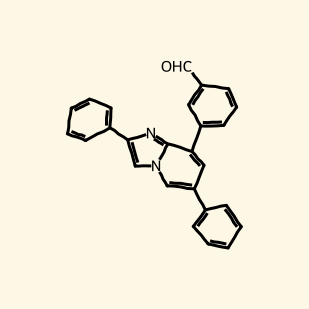 O=Cc1cccc(-c2cc(-c3ccccc3)cn3cc(-c4ccccc4)nc23)c1